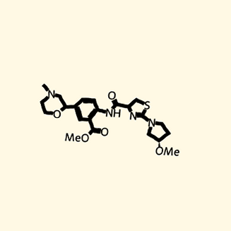 COC(=O)c1cc(C2CN(C)CCO2)ccc1NC(=O)C1CSC(N2CC[C@H](OC)C2)=N1